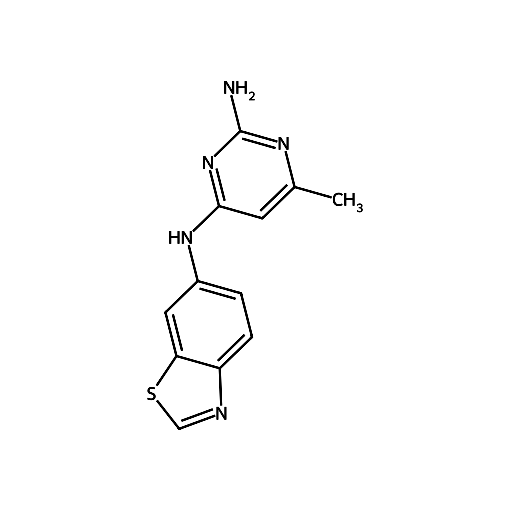 Cc1cc(Nc2ccc3ncsc3c2)nc(N)n1